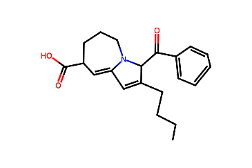 CCCCC1=CC2=CC(C(=O)O)CCCN2C1C(=O)c1ccccc1